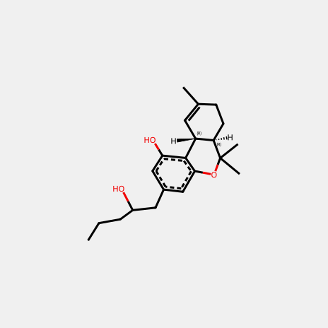 CCCC(O)Cc1cc(O)c2c(c1)OC(C)(C)[C@@H]1CCC(C)=C[C@@H]21